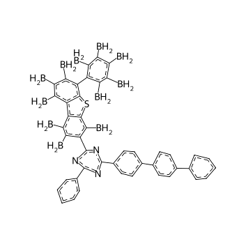 Bc1c(B)c(B)c(-c2c(B)c(B)c(B)c3c2sc2c(B)c(-c4nc(-c5ccccc5)nc(-c5ccc(-c6ccc(-c7ccccc7)cc6)cc5)n4)c(B)c(B)c23)c(B)c1B